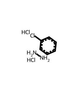 Cl.Cl.Clc1ccccc1.NN